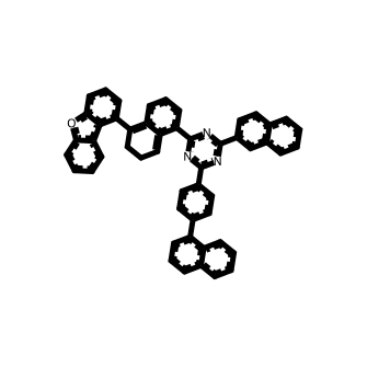 C1=c2c(-c3nc(-c4ccc(-c5cccc6ccccc56)cc4)nc(-c4ccc5ccccc5c4)n3)cccc2=C(c2cccc3oc4ccccc4c23)CC1